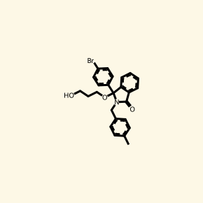 Cc1ccc(CN2C(=O)c3ccccc3C2(OCCCO)c2ccc(Br)cc2)cc1